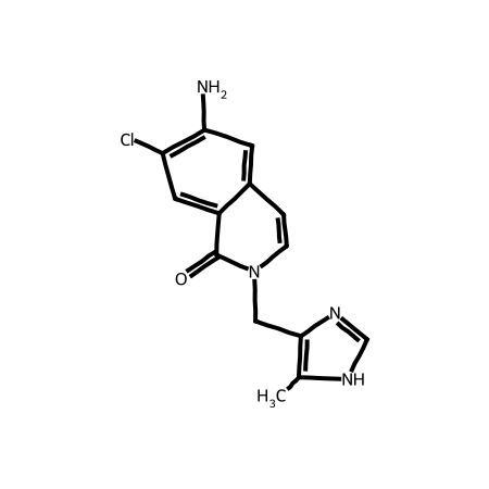 Cc1[nH]cnc1Cn1ccc2cc(N)c(Cl)cc2c1=O